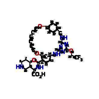 O=C(NC(C(=O)O)C1CCCNC1)c1ccc2cc1OCCCCCCOc1ccc(cc1)CNc1nc(nc(OCC(F)(F)F)n1)N2